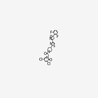 O=C(Cn1cc(Cl)cc(Cl)c1=O)N1CCC(c2nc(C3=NOC(c4c(F)cccc4F)C3)cs2)CC1